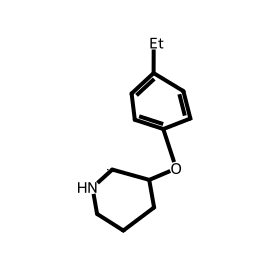 CCc1ccc(OC2[CH]NCCC2)cc1